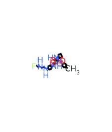 Cc1ccc(S(=O)(=O)N2c3ccccc3NC(=O)[C@H]2CC(=O)Nc2ccc(NCCNCCF)cc2)cc1